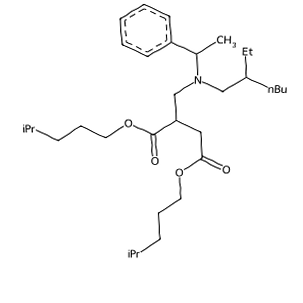 CCCCC(CC)CN(CC(CC(=O)OCCCC(C)C)C(=O)OCCCC(C)C)C(C)c1ccccc1